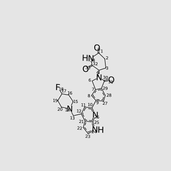 O=C1CCC(N2Cc3cc(-c4cc(CN5CCC(F)CC5)c5cc[nH]c5n4)ccc3C2=O)C(=O)N1